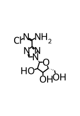 N/C(=N/Cl)c1ncn([C@@H]2O[C@H](CO)C(O)C2O)n1